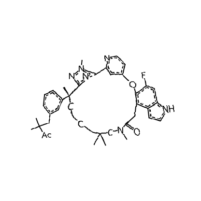 CC(=O)C(C)(C)Cc1cccc([C@@]2(C)CCCCC(C)(C)CN(C)C(=O)Cc3c(c(F)cc4[nH]ccc34)Oc3ccnc(c3)-c3nc2nn3C)c1